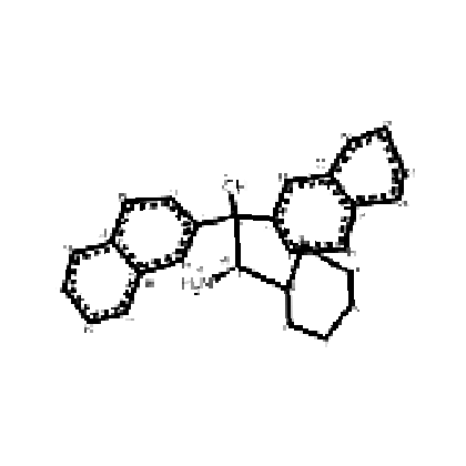 N[C@H](C1CCCCC1)C(O)(c1ccc2ccccc2c1)c1ccc2ccccc2c1